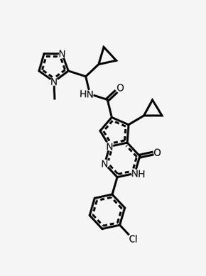 Cn1ccnc1C(NC(=O)c1cn2nc(-c3cccc(Cl)c3)[nH]c(=O)c2c1C1CC1)C1CC1